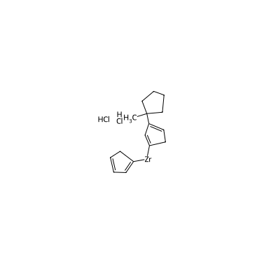 CC1(C2=CC[C]([Zr][C]3=CC=CC3)=C2)CCCC1.Cl.Cl